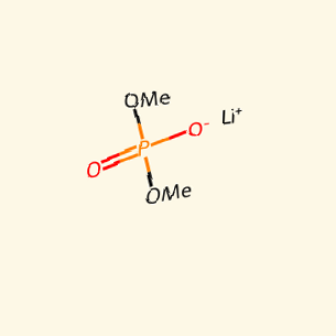 COP(=O)([O-])OC.[Li+]